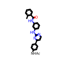 CC(=O)Nc1ccc(-c2ccnc(Nc3cccc(NC(=O)c4ccccc4C)c3)n2)cc1